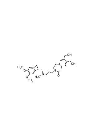 COc1cc2c(cc1OC)[C@@H](CN(C)CCCN1CCC3C=C(CO)C(CO)=CC3CC1=O)C2